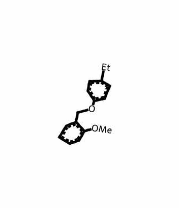 CCc1ccc(OCc2ccccc2OC)cc1